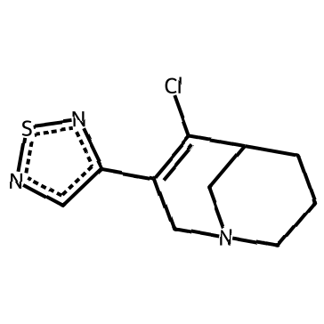 ClC1=C(c2cnsn2)CN2CCCC1C2